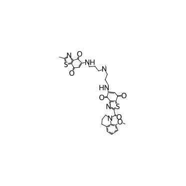 COc1cccc2c1N(C(=O)c1nc3c(s1)C(=O)C=C(NCCCN(C)CCCNC1=CC(=O)c4sc(C)nc4C1=O)C3=O)CCC2